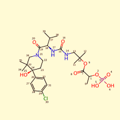 CC(OP(=O)(O)O)C(=O)OC(C)(C)CNC(=O)N[C@@H](C(=O)N1CC[C@](O)(c2ccc(Cl)cc2)C(C)(C)C1)C(C)C